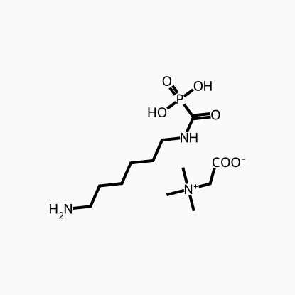 C[N+](C)(C)CC(=O)[O-].NCCCCCCNC(=O)P(=O)(O)O